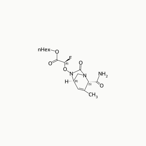 CCCCCCOC(=O)[C@@H](F)ON1C(=O)N2C[C@H]1C=C(C)[C@H]2C(N)=O